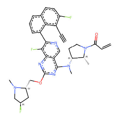 C#Cc1c(F)ccc2cccc(-c3ncc4c(N(C)[C@@H]5CCN(C(=O)C=C)[C@@H]5C)nc(OC[C@@H]5C[C@@H](F)CN5C)nc4c3F)c12